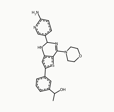 CC(O)c1cccc(-c2cc3c(s2)C(N2CCOCC2)=NC(c2ccc(N)nc2)N3)c1